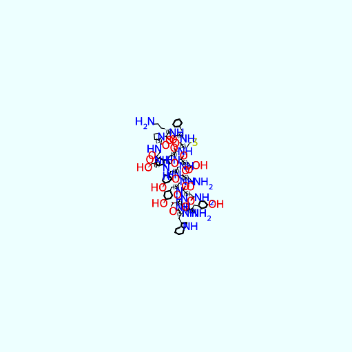 CSCC[C@H](NC(=O)[C@H](Cc1c[nH]c2ccccc12)NC(=O)[C@H](CC(=O)O)NC(=O)[C@H](Cc1ccc(O)cc1)NC(=O)[C@H](CC(N)=O)NC(=O)[C@H](Cc1ccc(O)cc1)NC(=O)[C@H](CC(N)=O)NC(=O)[C@@H](NC(=O)[C@H](Cc1c[nH]c2ccccc12)NC(=O)[C@@H](N)Cc1ccc(O)cc1)C(C)C)C(=O)N[C@@H](Cc1ccccc1)C(=O)N[C@@H](CCCCN)C(=O)N1CCC[C@H]1C(=O)NCC(=O)N[C@@H](C)C(=O)O